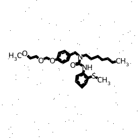 CCCCCCCN(Cc1ccc(OCOCCOC)cc1)C(=O)Nc1ccccc1SC